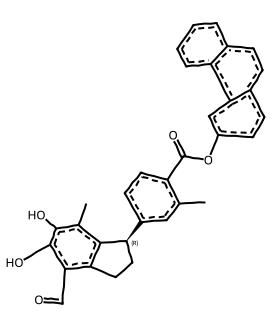 Cc1cc([C@H]2CCc3c(C=O)c(O)c(O)c(C)c32)ccc1C(=O)Oc1ccc2ccc3ccccc3c2c1